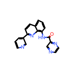 O=C(Nc1cccc2ccc(-c3cccnc3)nc12)c1cnccn1